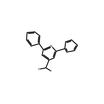 FC(F)c1cc(-c2ccccc2)nc(-c2ccccc2)c1